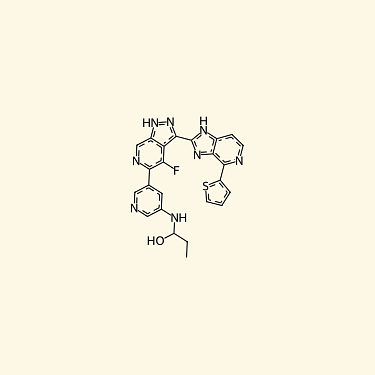 CCC(O)Nc1cncc(-c2ncc3[nH]nc(-c4nc5c(-c6cccs6)nccc5[nH]4)c3c2F)c1